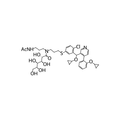 CC(=O)NCCCN(CCCSc1ccc(Cl)c(C(OC2CC2)c2cnccc2-c2ccccc2OC2CC2)c1)C(=O)[C@@H](O)[C@@H](O)[C@H](O)[C@@H](O)CO